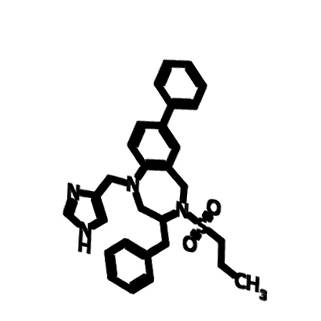 CCCS(=O)(=O)N1Cc2cc(-c3ccccc3)ccc2N(Cc2c[nH]cn2)CC1Cc1ccccc1